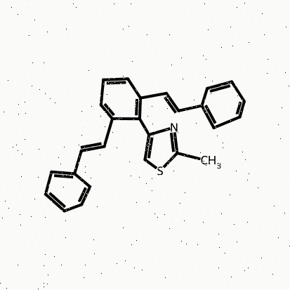 Cc1nc(-c2c(/C=C/c3ccccc3)cccc2/C=C/c2ccccc2)cs1